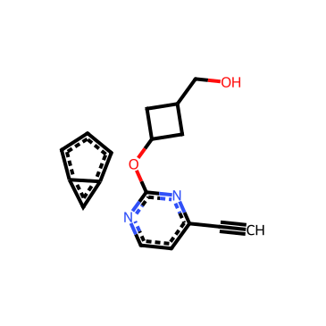 C#Cc1ccnc(OC2CC(CO)C2)n1.c1cc2cc-2c1